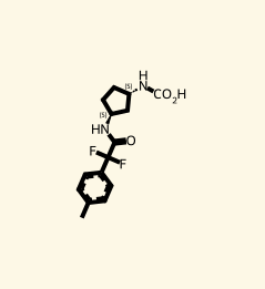 Cc1ccc(C(F)(F)C(=O)N[C@H]2CC[C@H](NC(=O)O)C2)cc1